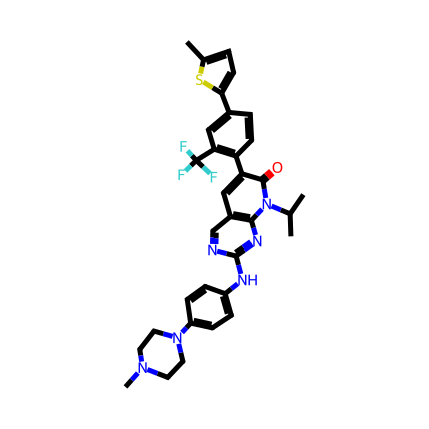 Cc1ccc(-c2ccc(-c3cc4cnc(Nc5ccc(N6CCN(C)CC6)cc5)nc4n(C(C)C)c3=O)c(C(F)(F)F)c2)s1